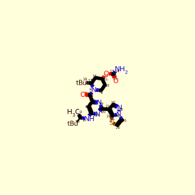 C[C@@H](Nc1cc(C(=O)N2CCC(OC(N)=O)CC2C(C)(C)C)nc(-c2cnn3ccsc23)n1)C(C)(C)C